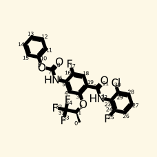 C[C@H](Oc1cc(NC(=O)Oc2ccccc2)c(F)cc1C(=O)Nc1c(F)cccc1Cl)C(F)(F)F